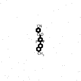 CC1CCC2CC(c3c(F)cc(C(=O)Oc4ccc(C#N)cc4)cc3F)CCC2C1